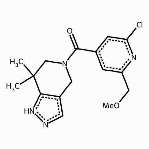 COCc1cc(C(=O)N2Cc3cn[nH]c3C(C)(C)C2)cc(Cl)n1